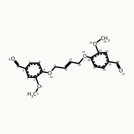 COc1cc(C=O)ccc1OCC=CCOc1ccc(C=O)cc1OC